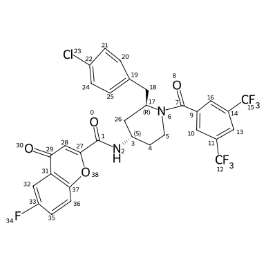 O=C(N[C@H]1CCN(C(=O)c2cc(C(F)(F)F)cc(C(F)(F)F)c2)[C@H](Cc2ccc(Cl)cc2)C1)c1cc(=O)c2cc(F)ccc2o1